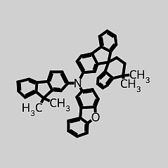 CC1(C)CCC2(c3ccccc3-c3ccc(N(c4ccc5c(c4)C(C)(C)c4ccccc4-5)c4ccc5oc6ccccc6c5c4)cc32)c2ccccc21